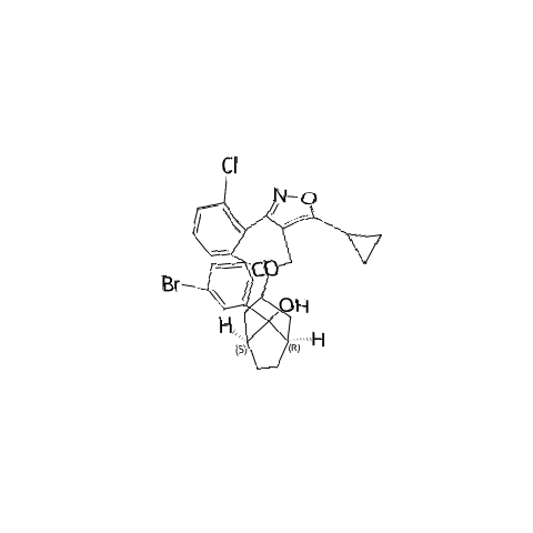 OC1(c2cccc(Br)c2)[C@@H]2CC[C@H]1CC(OCc1c(-c3c(Cl)cccc3Cl)noc1C1CC1)C2